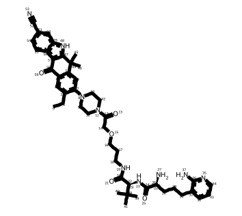 CCc1cc2c(cc1N1CCN(C(=O)COCCCNC(=O)[C@@H](NC(=O)[C@@H](N)CCCc3cccnc3N)C(C)(C)C)CC1)C(C)(C)c1[nH]c3cc(C#N)ccc3c1C2=O